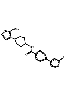 CSc1nccn1C1CCC(NC(=O)c2ccc(-c3cccc(F)c3)nc2)CC1